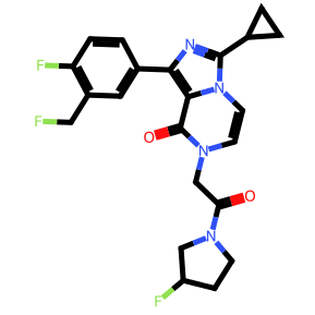 O=C(Cn1ccn2c(C3CC3)nc(-c3ccc(F)c(CF)c3)c2c1=O)N1CCC(F)C1